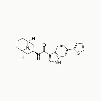 CN1[C@@H]2CCC[C@H]1C[C@@H](NC(=O)c1n[nH]c3cc(-c4cccs4)ccc13)C2